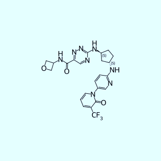 O=C(NC1COC1)c1cnc(N[C@H]2CC[C@H](Nc3ccc(-n4cccc(C(F)(F)F)c4=O)cn3)C2)nn1